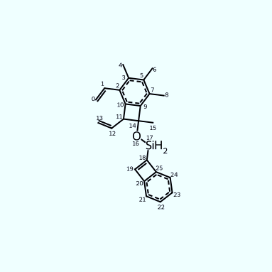 C=Cc1c(C)c(C)c(C)c2c1C(C=C)C2(C)O[SiH2]C1=Cc2ccccc21